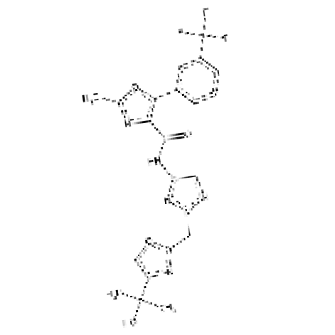 Cc1nc(C(=O)Nc2cnn(Cc3nc(C(C)(C)O)co3)n2)c(-c2cccc(C(F)(F)F)c2)o1